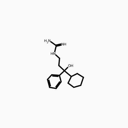 N=C(N)NCCC(O)(c1ccccc1)C1CCCCC1